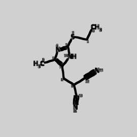 CCSc1nc(C)c(CC(C#N)C#N)[nH]1